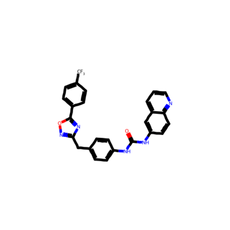 O=C(Nc1ccc(Cc2noc(-c3ccc(C(F)(F)F)cc3)n2)cc1)Nc1ccc2ncccc2c1